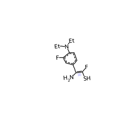 CCN(CC)c1ccc(/C(N)=C(\F)S)cc1F